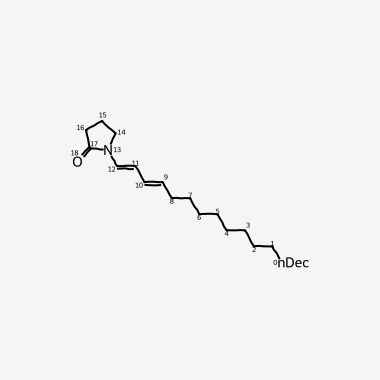 CCCCCCCCCCCCCCCCCCC=CC=CN1CCCC1=O